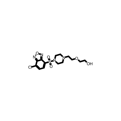 O=S(=O)(c1ccc(Cl)c2nonc12)N1CCN(CCOCCO)CC1